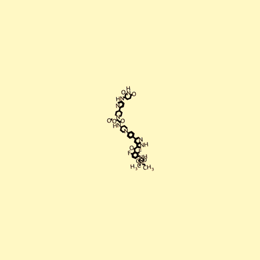 CCN(C)S(=O)(=O)Nc1ccc(F)c(C(=O)c2c[nH]c3ncc(-c4ccc(N5CCC(NC(=O)C(OC=O)N6CCC(c7ccc(NC8CCC(=O)NC8=O)cn7)CC6)CC5)cc4)cc23)c1F